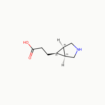 O=C(O)CC[C@H]1[C@H]2CNC[C@@H]12